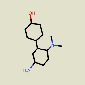 CN(C)C1CCC(N)CC1C1CCC(O)CC1